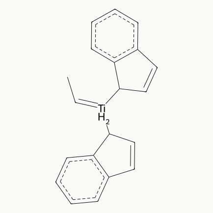 C[CH]=[TiH2]([CH]1C=Cc2ccccc21)[CH]1C=Cc2ccccc21